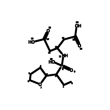 CCC(C1CCCO1)P(=O)(O)NC(CC(=O)O)CC(=O)O